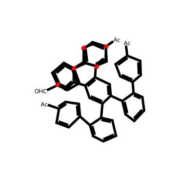 CC(=O)c1ccc(-c2ccccc2-c2cc(-c3ccccc3-c3ccc(C(C)=O)cc3)c(-c3ccccc3-c3ccc(C(C)=O)cc3)cc2-c2ccccc2-c2ccc(C=O)cc2)cc1